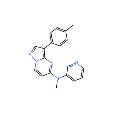 Cc1ccc(-c2cnn3ccc(N(C)c4cccnc4)nc23)cc1